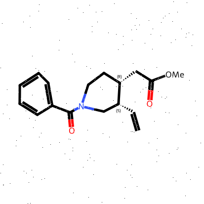 C=C[C@@H]1CN(C(=O)c2ccccc2)CC[C@@H]1CC(=O)OC